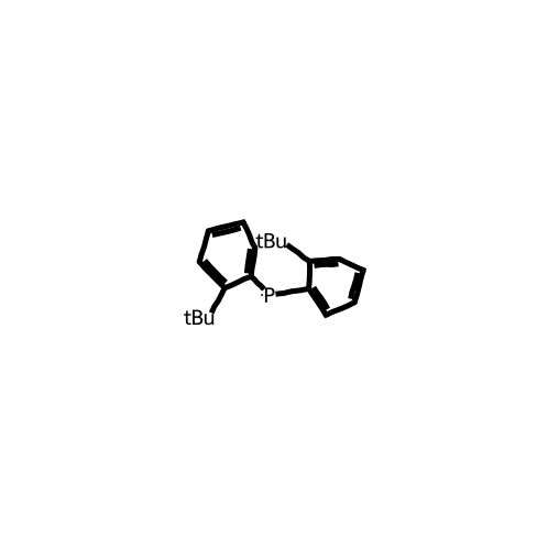 CC(C)(C)c1ccccc1[P]c1ccccc1C(C)(C)C